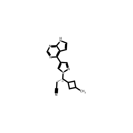 CC1CC([C@H](CC#N)n2cc(-c3ncnc4[nH]ccc34)cn2)C1